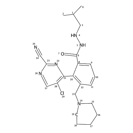 CC(C)CNNC(=O)c1cccc(CN2CCCCC2)c1-c1nc(C#N)ncc1Cl